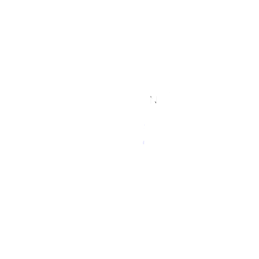 C\C=C/C=C\C(=C/C)C(\C)=C\N=C/C